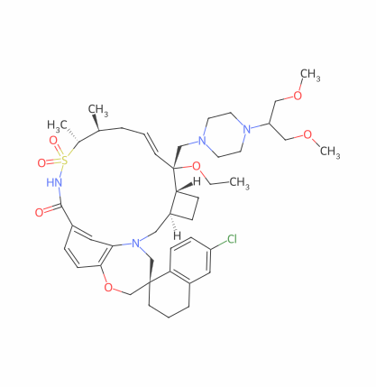 CCO[C@@]1(CN2CCN(C(COC)COC)CC2)/C=C/C[C@H](C)[C@@H](C)S(=O)(=O)NC(=O)c2ccc3c(c2)N(C[C@@H]2CC[C@H]21)C[C@@]1(CCCc2cc(Cl)ccc21)CO3